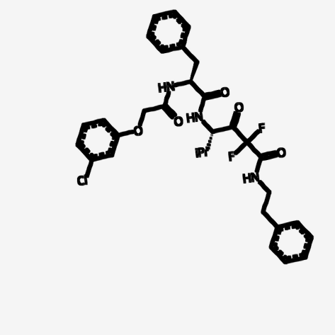 CC(C)[C@H](NC(=O)[C@H](Cc1ccccc1)NC(=O)COc1cccc(Cl)c1)C(=O)C(F)(F)C(=O)NCCc1ccccc1